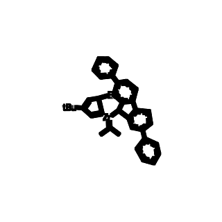 CCC1C=C(C(C)(C)C)C=[C]1[Zr](=[C](C)C)[CH]1c2cc(-c3ccccc3)ccc2-c2ccc(-c3ccccc3)cc21